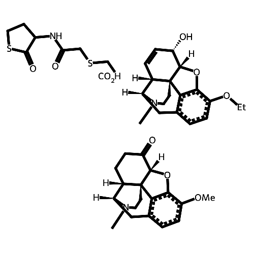 CCOc1ccc2c3c1O[C@H]1[C@@H](O)C=C[C@H]4[C@@H](C2)N(C)CC[C@@]341.COc1ccc2c3c1O[C@H]1C(=O)CC[C@H]4[C@@H](C2)N(C)CC[C@]314.O=C(O)CSCC(=O)NC1CCSC1=O